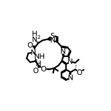 CCn1c(-c2cccnc2[C@H](C)OC)c2c3nc(ccc31)-c1csc(n1)C[C@H](N)C(=O)N1CCC[C@H](N1)C(=O)OCC(C)(C)C2